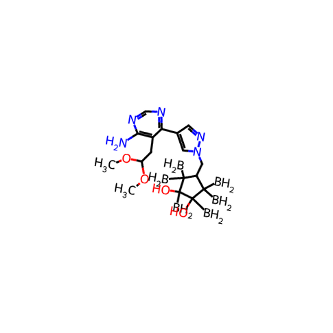 BC1(B)C(Cn2cc(-c3ncnc(N)c3CC(OC)OC)cn2)C(B)(B)C(B)(O)C1(B)O